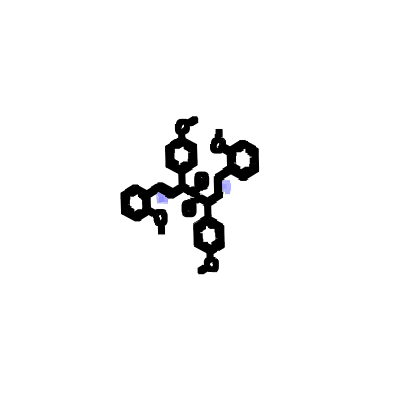 COc1ccc(C(/C=C/c2ccccc2OC)S(=O)(=O)C(/C=C/c2ccccc2OC)c2ccc(OC)cc2)cc1